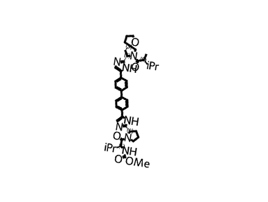 COC(=O)N[C@H](C(=O)N1CCC[C@H]1c1ncc(-c2ccc(-c3ccc(-c4cnc([C@@H]5C[C@@]6(CCCO6)CN5C(=O)[C@@H](C)C(C)C)[nH]4)cc3)cc2)[nH]1)C(C)C